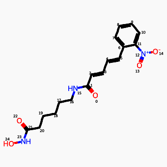 O=C(/C=C/C=C/c1ccccc1[N+](=O)[O-])NCCCCCC(=O)NO